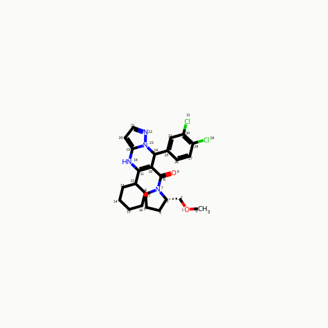 COC[C@@H]1CCCN1C(=O)C1=C(C2CCCCC2)Nc2ccnn2C1c1ccc(Cl)c(Cl)c1